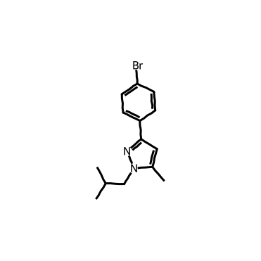 Cc1cc(-c2ccc(Br)cc2)nn1CC(C)C